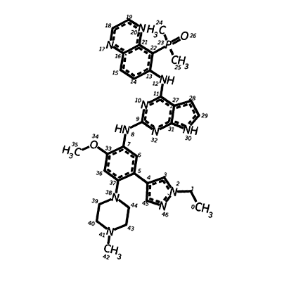 CCn1cc(-c2cc(Nc3nc(Nc4ccc5nccnc5c4P(C)(C)=O)c4cc[nH]c4n3)c(OC)cc2N2CCN(C)CC2)cn1